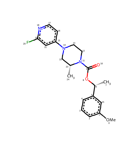 COc1cccc([C@@H](C)OC(=O)N2CCN(c3ccnc(F)c3)C[C@H]2C)c1